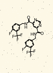 O=C(NCc1ccc(F)c(C(F)(F)F)c1)c1cc(C(=O)NCc2ccc(F)c(C(F)(F)F)c2)ncn1